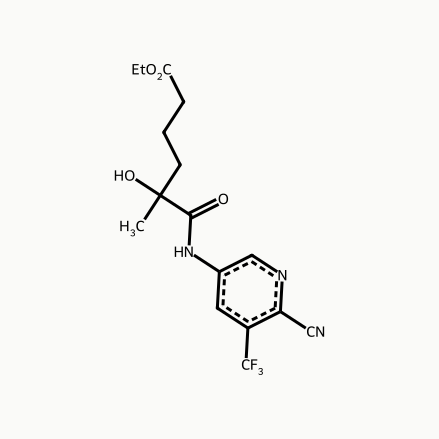 CCOC(=O)CCCC(C)(O)C(=O)Nc1cnc(C#N)c(C(F)(F)F)c1